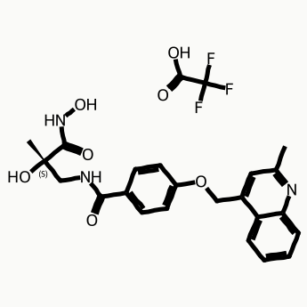 Cc1cc(COc2ccc(C(=O)NC[C@](C)(O)C(=O)NO)cc2)c2ccccc2n1.O=C(O)C(F)(F)F